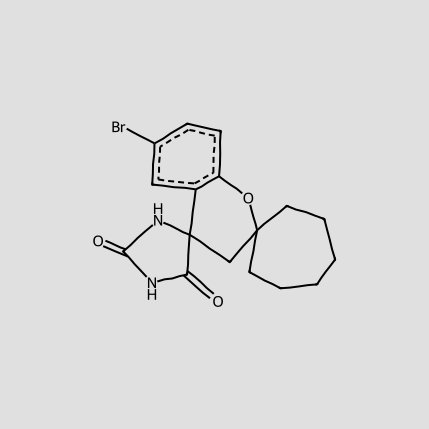 O=C1NC(=O)C2(CC3(CCCCCC3)Oc3ccc(Br)cc32)N1